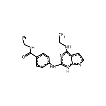 CC(C)CNC(=O)c1ccc(Nc2nc(NCC(F)(F)F)c3ccnc-3[nH]2)cc1